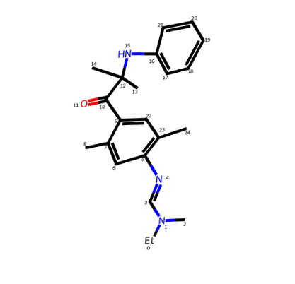 CCN(C)C=Nc1cc(C)c(C(=O)C(C)(C)Nc2ccccc2)cc1C